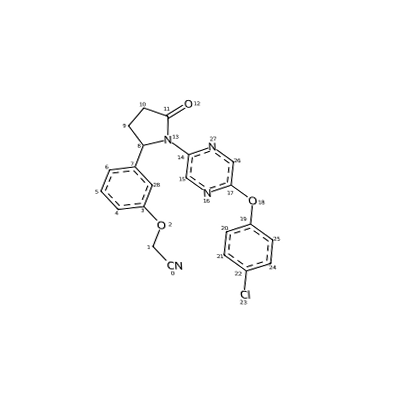 N#CCOc1cccc(C2CCC(=O)N2c2cnc(Oc3ccc(Cl)cc3)cn2)c1